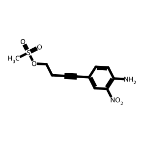 CS(=O)(=O)OCCC#Cc1ccc(N)c([N+](=O)[O-])c1